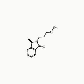 C=C1c2ccccc2C(=O)N1CCCOC(C)C